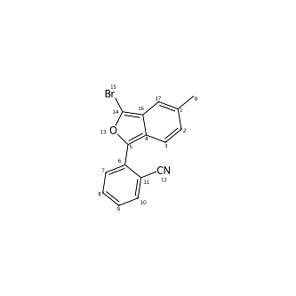 Cc1ccc2c(-c3ccccc3C#N)oc(Br)c2c1